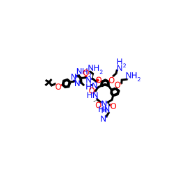 Cc1nc(-c2ccc(OCCC(C)(C)C)cc2)nc(N)c1C(=O)N[C@@H](CCN)C(=O)N(C)[C@@H]1C(=O)N[C@@H](C)C(=O)N[C@H](C(=O)NCC#N)Cc2ccc(OCCCN)c(c2)-c2cc1ccc2OCCCN